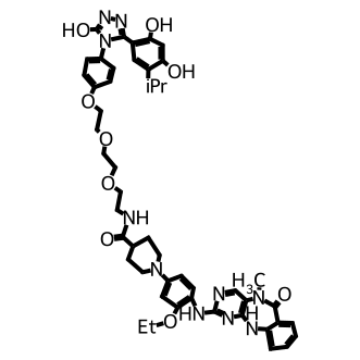 CCOc1cc(N2CCC(C(=O)NCCOCCOCCOc3ccc(-n4c(O)nnc4-c4cc(C(C)C)c(O)cc4O)cc3)CC2)ccc1Nc1ncc2c(n1)Nc1ccccc1C(=O)N2C